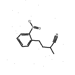 CC(C#N)CCc1ccccc1[N+](=O)[O-]